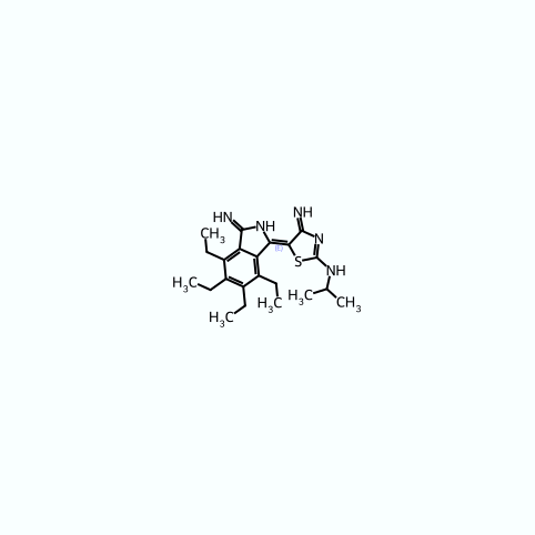 CCc1c(CC)c(CC)c2c(c1CC)C(=N)N/C2=C1/SC(NC(C)C)=NC1=N